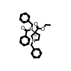 CCOC(=O)[C@]1(N(Cc2ccccc2)C(=O)c2ccccc2)CCN(Cc2ccccc2)C1